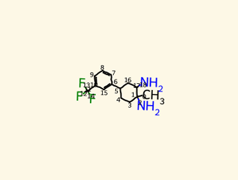 CC1(N)CCC(c2cccc(C(F)(F)F)c2)CC1N